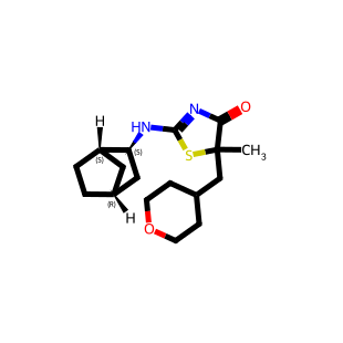 CC1(CC2CCOCC2)SC(N[C@H]2C[C@@H]3CC[C@H]2C3)=NC1=O